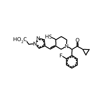 O=C(O)Cn1cc(/C=C2/CN(C(C(=O)C3CC3)c3ccccc3F)CCC2S)cn1